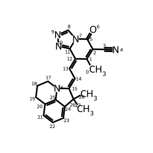 Cc1c(C#N)c(=O)n2cnnc2/c1=C/C=C1\N2CCCc3cccc(c32)C1(C)C